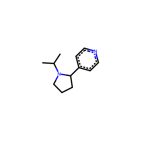 CC(C)N1CCCC1c1ccncc1